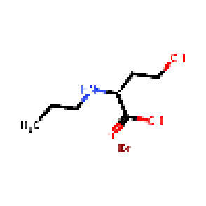 Br.CCCN[C@@H](CCO)C(=O)O